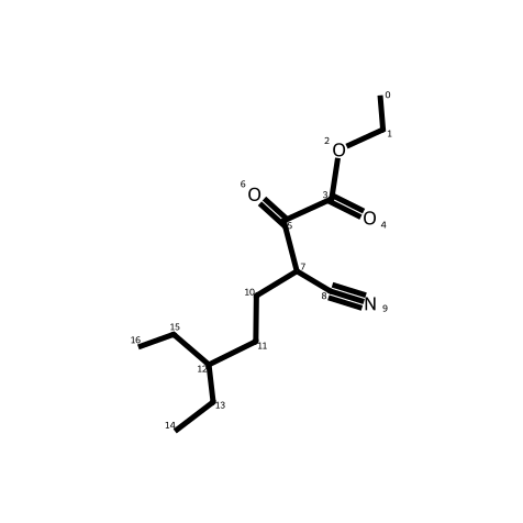 CCOC(=O)C(=O)C(C#N)CCC(CC)CC